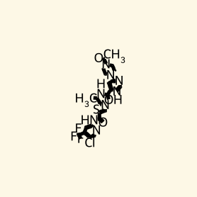 CC(=O)N1CCN(c2cc(C(O)NC(C)c3ncc(C(=O)Nc4cc(C(F)(F)F)c(Cl)cn4)s3)ncn2)CC1